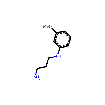 COc1cccc(NCCCN)c1